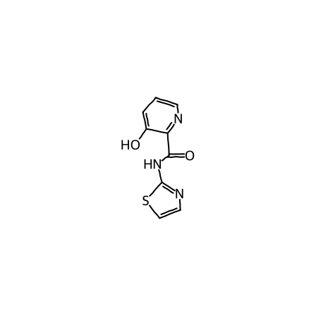 O=C(Nc1nccs1)c1ncccc1O